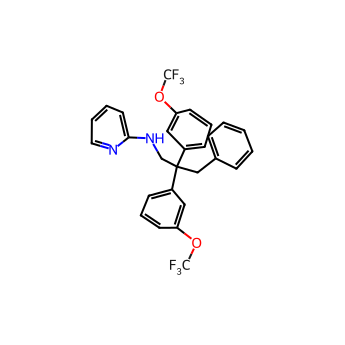 FC(F)(F)Oc1cccc(C(CNc2ccccn2)(Cc2ccccc2)c2cccc(OC(F)(F)F)c2)c1